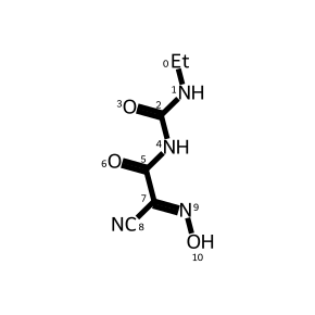 CCNC(=O)NC(=O)C(C#N)=NO